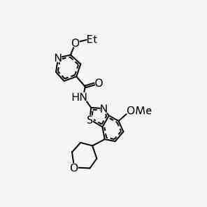 CCOc1cc(C(=O)Nc2nc3c(OC)ccc(C4CCOCC4)c3s2)ccn1